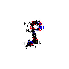 CC(C)C[C@@H]1OC(=O)C(C)(C)CNC(=O)CNC(=O)/C=C/C[C@@H]([C@H](C)/C=C/c2ccc(COC(=O)C(C)(C)CNC(=O)OC(C)(C)C)cc2)OC1=O